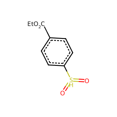 CCOC(=O)c1ccc([SH](=O)=O)cc1